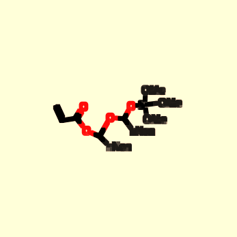 C=CC(=O)OC(CCCCCCCCC)OC(CCCCCCCCC)O[Si](OC)(OC)OC